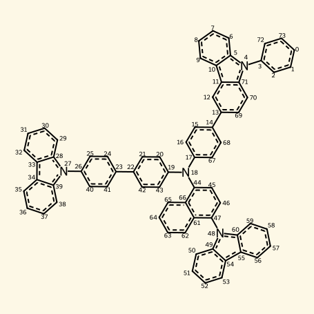 c1ccc(-n2c3ccccc3c3cc(-c4ccc(N(c5ccc(-c6ccc(-n7c8ccccc8c8ccccc87)cc6)cc5)c5ccc(-n6c7ccccc7c7ccccc76)c6ccccc56)cc4)ccc32)cc1